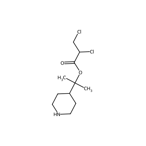 CC(C)(OC(=O)C(Cl)CCl)C1CCNCC1